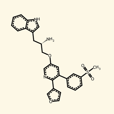 CS(=O)(=O)c1cccc(-c2cc(OC[C@@H](N)Cc3c[nH]c4ccccc34)cnc2-c2ccoc2)c1